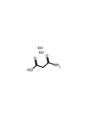 NC(=O)CC(=O)O.[KH].[KH]